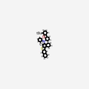 Cc1ccccc1N(c1cc2sc3cc4ccccc4cc3c2c2ccccc12)c1cccc2c1oc1c(C(C)(C)C)cccc12